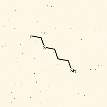 SCCCSCI